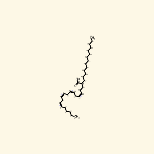 CCCCC/C=C\C/C=C\C/C=C\C/C=C\CCC(CCCCCCCCCCCCCC)C(=O)O